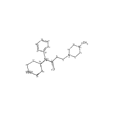 CN1CCN(CCC(=O)N(c2ccccc2)C2CCNCC2)CC1